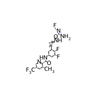 Cc1cc(C(F)(F)F)cnc1C(=O)Nc1cc(F)c(F)c([C@H]2C[C@H]2NO/C(N)=N\CF)c1